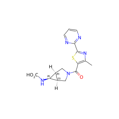 Cc1nc(-c2ncccn2)sc1C(=O)N1C[C@@H]2[C@H](C1)[C@@H]2NC(=O)O